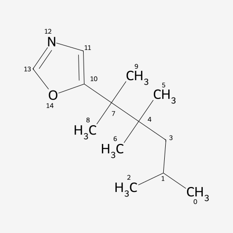 CC(C)CC(C)(C)C(C)(C)c1cnco1